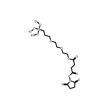 CCO[Si](CCCOCCOCCOC(=O)CCC(=O)ON1C(=O)CCC1=O)(OCC)OCC